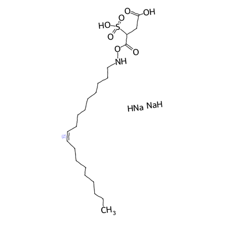 CCCCCCCC/C=C\CCCCCCCCNOC(=O)C(CC(=O)O)S(=O)(=O)O.[NaH].[NaH]